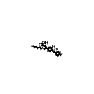 CCCCCCn1cc(-c2ccc(NCc3ccc(F)cc3F)cc2)cc1C(=O)O